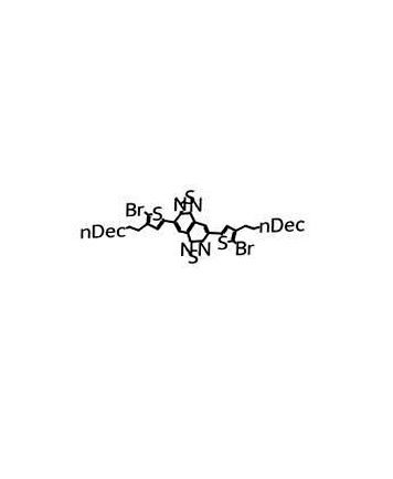 CCCCCCCCCCCCc1cc(-c2cc3c(cc(-c4cc(CCCCCCCCCCCC)c(Br)s4)c4nsnc43)c3nsnc23)sc1Br